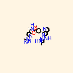 CO[C@]1(C(=O)N[C@@H](C)c2ccc(-n3ncnc3C)nc2)CC[C@@H](c2nc(Nc3cc(C)[nH]n3)cc3cccnc32)CC1